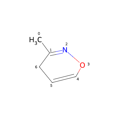 CC1=NOC=CC1